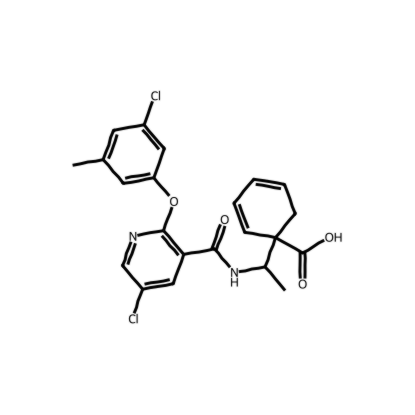 Cc1cc(Cl)cc(Oc2ncc(Cl)cc2C(=O)NC(C)C2(C(=O)O)C=CC=CC2)c1